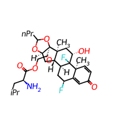 CCCC1O[C@@H]2C[C@H]3[C@@H]4C[C@H](F)C5=CC(=O)C=C[C@]5(C)[C@@]4(F)[C@@H](O)C[C@]3(C)[C@]2(C(=O)COC(=O)[C@@H](N)CC(C)C)O1